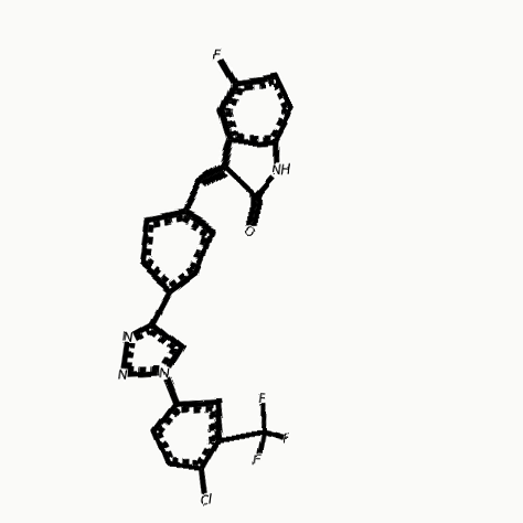 O=C1Nc2ccc(F)cc2C1=Cc1ccc(-c2cn(-c3ccc(Cl)c(C(F)(F)F)c3)nn2)cc1